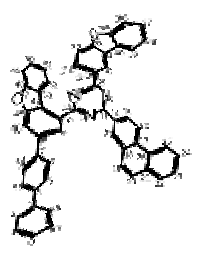 c1ccc(-c2ccc(-c3cc(-c4nc(-c5ccc6c(ccc7ccccc76)c5)nc(-c5ccc6oc7ccccc7c6c5)n4)c4c(c3)oc3ccccc34)cc2)cc1